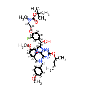 CCC[C@H](C)Oc1nc(N(Cc2ccc(OC)cc2)Cc2ccc(OC)cc2)c2ncc(C(O)c3ccc(OCCN(C)C(=O)OC(C)(C)C)c(F)c3)n2n1